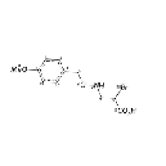 COc1ccc(CONCC(Br)C(=O)O)cc1